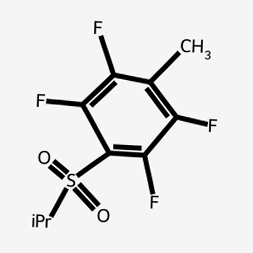 Cc1c(F)c(F)c(S(=O)(=O)C(C)C)c(F)c1F